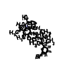 CN[C@H](C(=O)N[C@H](C(=O)N(C)[C@H](/C=C(\C)C(=O)O)C(C)C)C(C)(C)C)C(C)(C)c1cccc(Br)c1